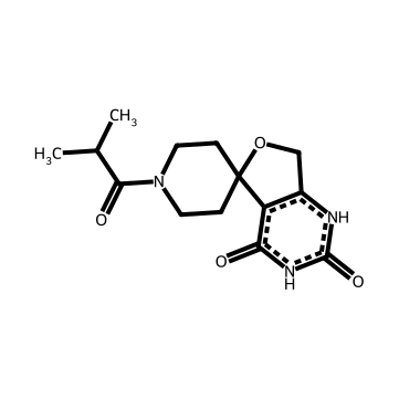 CC(C)C(=O)N1CCC2(CC1)OCc1[nH]c(=O)[nH]c(=O)c12